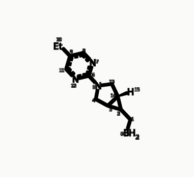 BCC1C2CN(c3ncc(CC)cn3)C[C@H]12